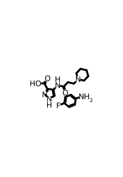 Nc1ccc(F)cc1.O=C(CCN1CCCCC1)Nc1c[nH]nc1C(=O)O